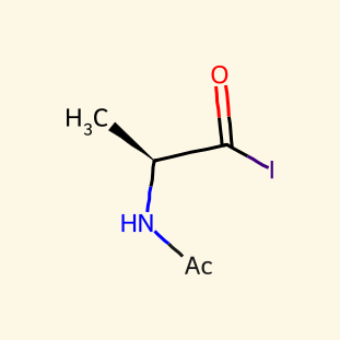 CC(=O)N[C@@H](C)C(=O)I